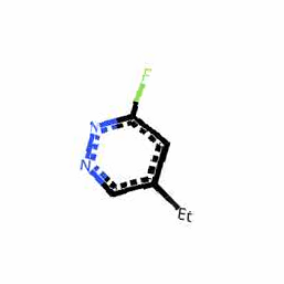 CCc1cnnc(F)c1